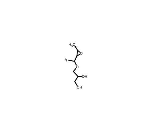 [2H]C(OCC(O)CO)C1OC1C